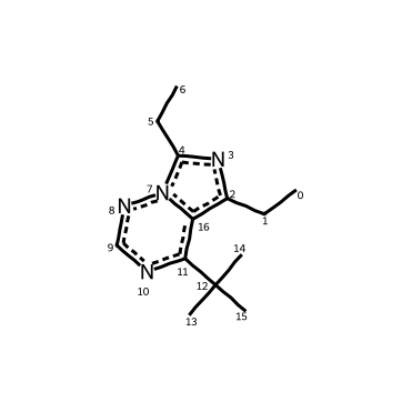 CCc1nc(CC)n2ncnc(C(C)(C)C)c12